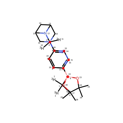 [2H]C([2H])([2H])Oc1ccc(C([2H])([2H])N2C3CC2CN(c2ccc(B4OC(C)(C)C(C)(C)O4)cn2)C3)cn1